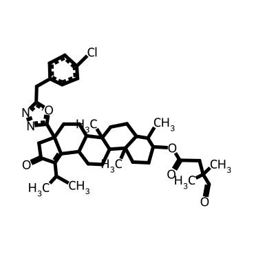 CC(C)C1=C2C3CCC4C(C)(CCC5C(C)C(OC(=O)CC(C)(C)C=O)CCC54C)C3CCC2(c2nnc(Cc3ccc(Cl)cc3)o2)CC1=O